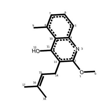 COc1nc2cccc(C)c2c(O)c1CC=C(C)C